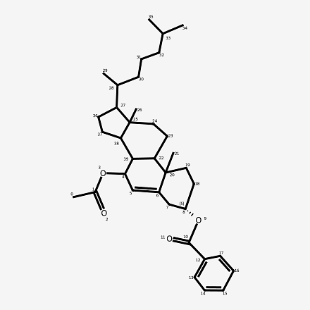 CC(=O)OC1C=C2C[C@@H](OC(=O)c3ccccc3)CCC2(C)C2CCC3(C)C(C(C)CCCC(C)C)CCC3C12